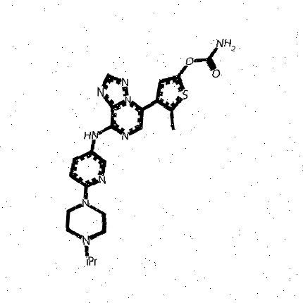 Cc1sc(OC(N)=O)cc1-c1cnc(Nc2ccc(N3CCN(C(C)C)CC3)nc2)c2ncnn12